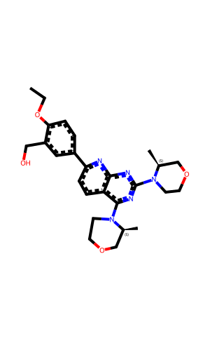 CCOc1ccc(-c2ccc3c(N4CCOC[C@@H]4C)nc(N4CCOC[C@@H]4C)nc3n2)cc1CO